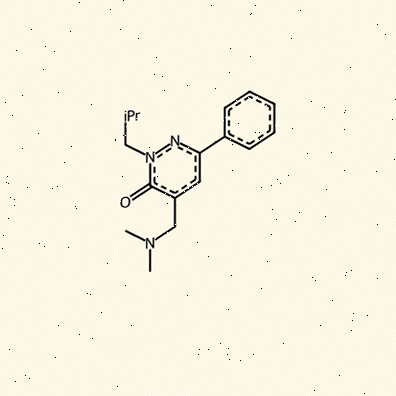 CC(C)Cn1nc(-c2ccccc2)cc(CN(C)C)c1=O